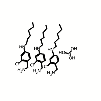 CCCCCCNc1ccc(CN)c(Cl)c1.CCCCCCNc1ccc(CN)c(Cl)c1.CCCCCCNc1ccc(CN)c(Cl)c1.OB(O)O